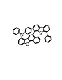 c1ccc(-c2cccc3c2sc2c(-c4cc5c(oc6cccc(N(c7ccccc7)c7ccccc7)c65)c5ccccc45)cccc23)cc1